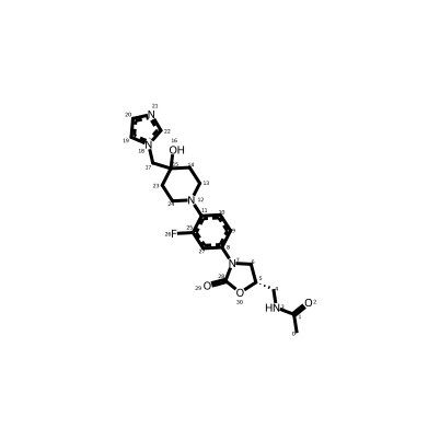 CC(=O)NC[C@H]1CN(c2ccc(N3CCC(O)(Cn4ccnc4)CC3)c(F)c2)C(=O)O1